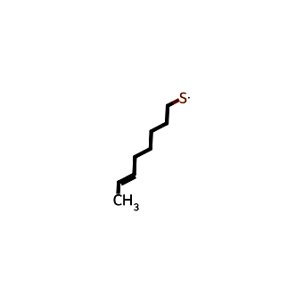 CC=CCCCCC[S]